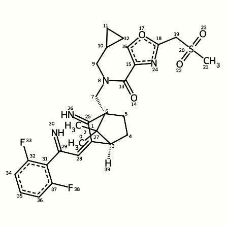 CC1(C)[C@H]2CC[C@]1(CN(CC1CC1)C(=O)c1coc(CS(C)(=O)=O)n1)C(=N)/C2=C\C(=N)c1c(F)cccc1F